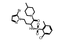 Cc1cccc(Cl)c1S(=O)(=O)NC(CCn1nccc1Br)C(=O)N1CCC(C)CC1